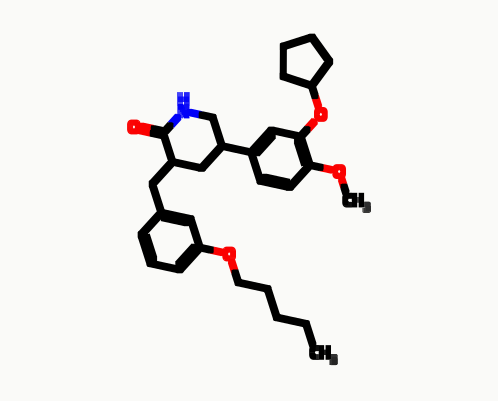 CCCCCOc1cccc(CC2CC(c3ccc(OC)c(OC4CCCC4)c3)CNC2=O)c1